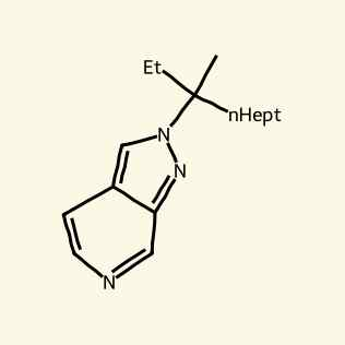 CCCCCCCC(C)(CC)n1cc2ccncc2n1